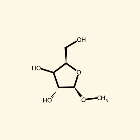 CO[C@@H]1O[C@H](CO)C(O)[C@H]1O